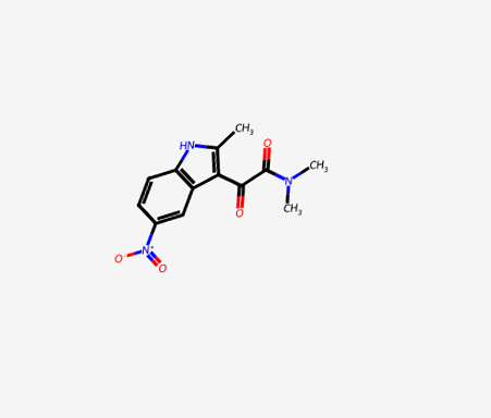 Cc1[nH]c2ccc([N+](=O)[O-])cc2c1C(=O)C(=O)N(C)C